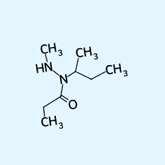 CCC(=O)N(NC)C(C)CC